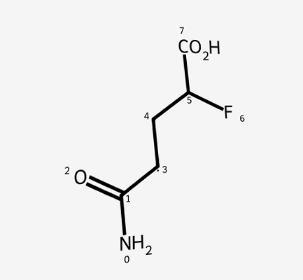 NC(=O)[CH]CC(F)C(=O)O